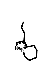 CCCc1cnn2c1CCCCC2